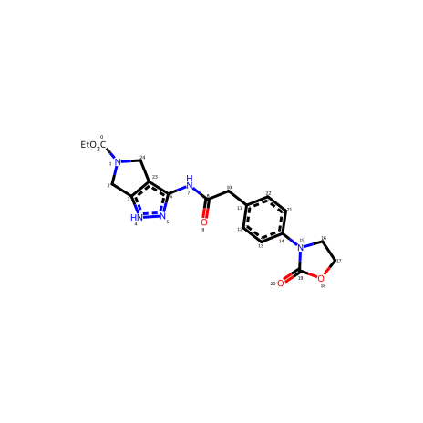 CCOC(=O)N1Cc2[nH]nc(NC(=O)Cc3ccc(N4CCOC4=O)cc3)c2C1